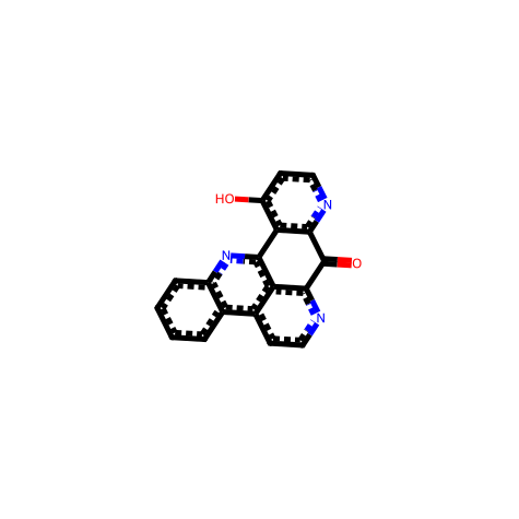 O=C1c2nccc(O)c2-c2nc3ccccc3c3ccnc1c23